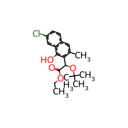 CCOC(=O)C(OC(C)(C)C)c1c(C)cc2ccc(Cl)cc2c1O